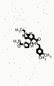 CCn1ncc2c(N[C@H]3CCN(C(N)=O)C3)c(C(=O)NCc3ccc(C)c(C)c3)cnc21